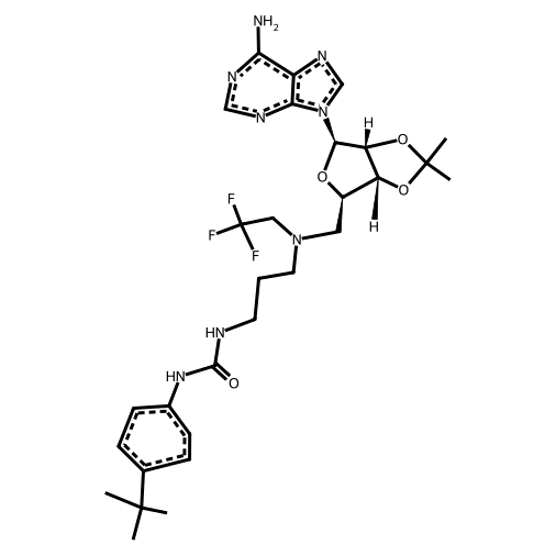 CC1(C)O[C@@H]2[C@H](O1)[C@@H](CN(CCCNC(=O)Nc1ccc(C(C)(C)C)cc1)CC(F)(F)F)O[C@H]2n1cnc2c(N)ncnc21